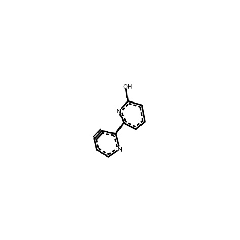 Oc1cccc(-c2c#cccn2)n1